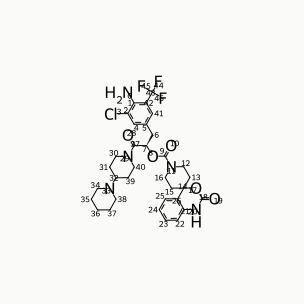 Nc1c(Cl)cc(C[C@@H](OC(=O)N2CCC3(CC2)OC(=O)Nc2ccccc23)C(=O)N2CCC(N3CCCCC3)CC2)cc1C(F)(F)F